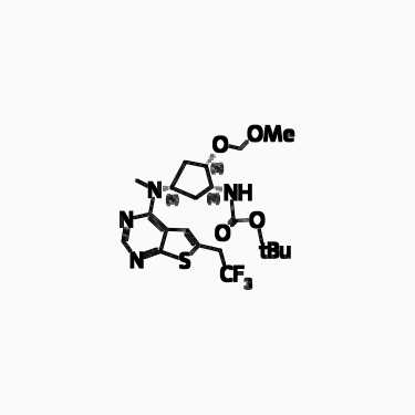 COCO[C@H]1C[C@@H](N(C)c2ncnc3sc(CC(F)(F)F)cc23)C[C@H]1NC(=O)OC(C)(C)C